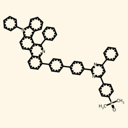 CP(C)(=O)c1ccc(-c2cc(-c3ccccc3)nc(-c3ccc(-c4ccc(-c5cccc6c5nc(-c5ccccc5)c5c6ccc6c5c5ccccc5n6-c5ccccc5)cc4)cc3)n2)cc1